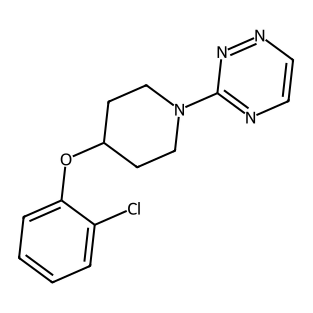 Clc1ccccc1OC1CCN(c2nccnn2)CC1